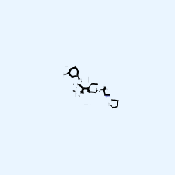 O=C(/C=C/[C@@H]1CCCN1C(=O)O)N1CCc2c(sc3ncnc(Nc4ccc(F)c(Cl)c4)c23)C1